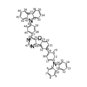 CC1CC(n2c3ccccc3c3ccccc32)=CC=C1c1ccc2oc3c(-c4ccc(-n5c6ccccc6c6ccccc65)cc4)ncnc3c2c1